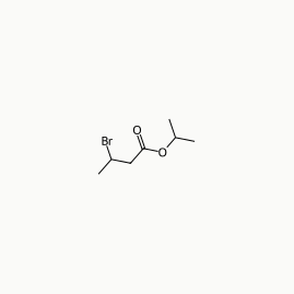 CC(Br)CC(=O)OC(C)C